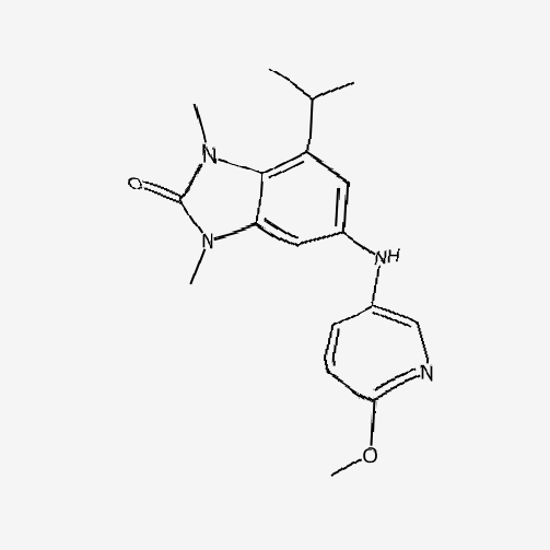 COc1ccc(Nc2cc(C(C)C)c3c(c2)n(C)c(=O)n3C)cn1